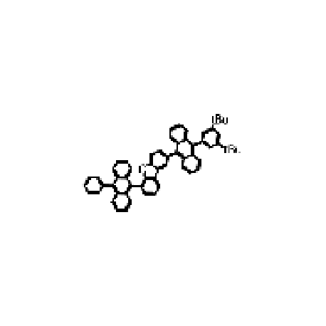 CC(C)(C)c1cc(-c2c3ccccc3c(-c3ccc4oc5c(-c6c7ccccc7c(-c7ccccc7)c7ccccc67)cccc5c4c3)c3ccccc23)cc(C(C)(C)C)c1